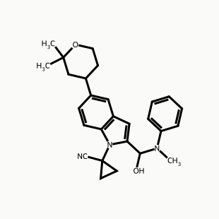 CN(c1ccccc1)C(O)c1cc2cc(C3CCOC(C)(C)C3)ccc2n1C1(C#N)CC1